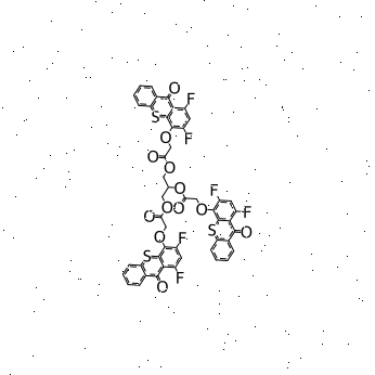 O=C(COc1c(F)cc(F)c2c(=O)c3ccccc3sc12)OCC(COC(=O)COc1c(F)cc(F)c2c(=O)c3ccccc3sc12)OC(=O)COc1c(F)cc(F)c2c(=O)c3ccccc3sc12